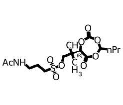 CCCC1OC(=O)O[C@H](C(C)(C)COS(=O)(=O)CCCNC(C)=O)C(=O)O1